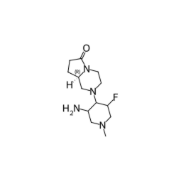 CN1CC(N)C(N2CCN3C(=O)CC[C@@H]3C2)C(F)C1